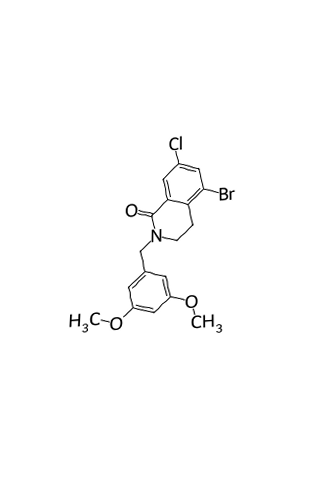 COc1cc(CN2CCc3c(Br)cc(Cl)cc3C2=O)cc(OC)c1